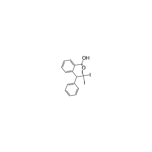 O=C(O)c1ccccc1C(c1ccccc1)C(I)(I)I